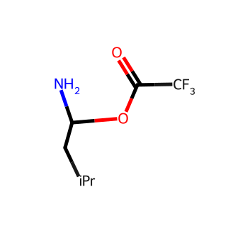 CC(C)CC(N)OC(=O)C(F)(F)F